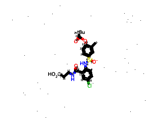 Cc1cc([S+]([O-])Nc2ccc(Cl)cc2C(=O)NCCC(=O)O)ccc1OC(=O)C(C)(C)C